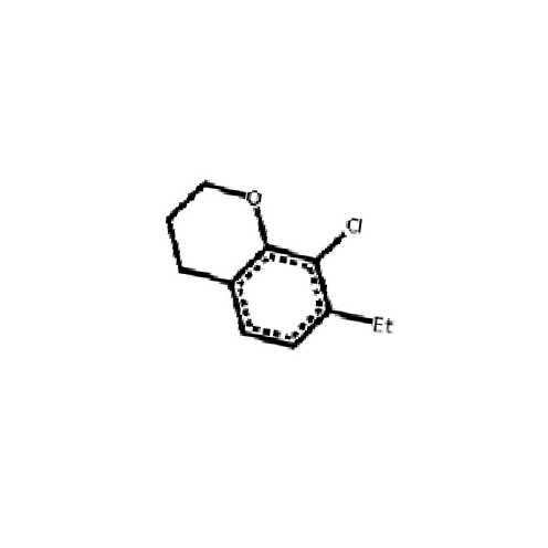 CCc1ccc2c(c1Cl)OCCC2